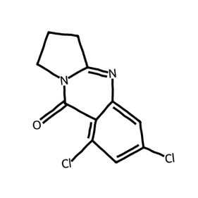 O=c1c2c(Cl)cc(Cl)cc2nc2n1CCC2